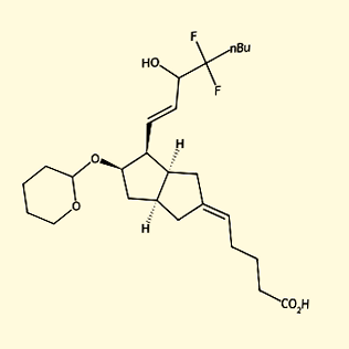 CCCCC(F)(F)C(O)C=C[C@H]1[C@H]2CC(=CCCCC(=O)O)C[C@H]2C[C@H]1OC1CCCCO1